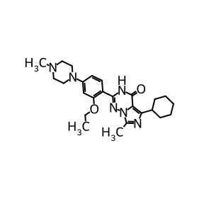 CCOc1cc(N2CCN(C)CC2)ccc1-c1nn2c(C)nc(C3CCCCC3)c2c(=O)[nH]1